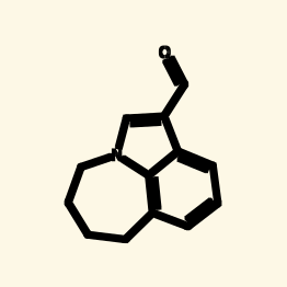 O=Cc1cn2c3c(cccc13)CCCC2